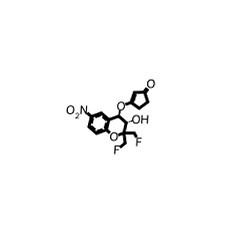 O=C1C=C(O[C@@H]2c3cc([N+](=O)[O-])ccc3OC(CF)(CF)[C@H]2O)CC1